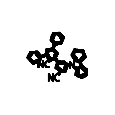 N#Cc1cc(-c2cc(-c3ccccc3)cc(-c3ccccc3)c2C#N)cc(-n2c3ccccc3c3ccccc32)c1